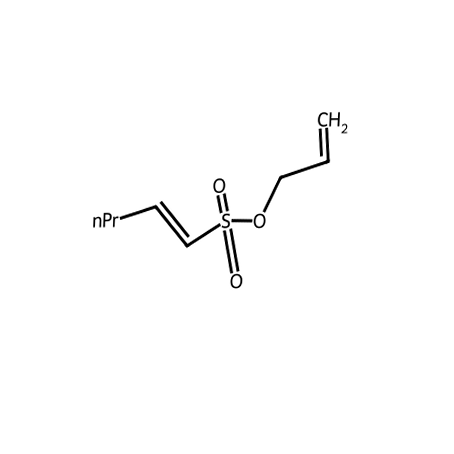 C=CCOS(=O)(=O)/C=C/CCC